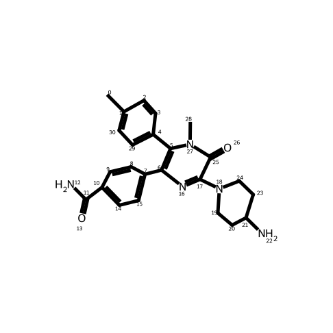 Cc1ccc(-c2c(-c3ccc(C(N)=O)cc3)nc(N3CCC(N)CC3)c(=O)n2C)cc1